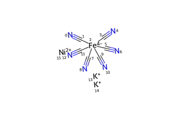 N#[C][Fe-4]([C]#N)([C]#N)([C]#N)([C]#N)[C]#N.[K+].[K+].[Ni+2]